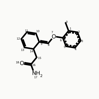 Cc1ccccc1OC=C1C=CC=CC1CC(N)=O